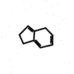 [C]1=CC=C2CCC=C2C1